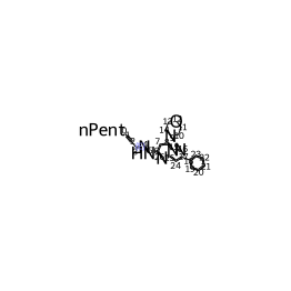 CCCCCC#C/C=N/Nc1cc(N2CCOCC2)n2nc(-c3ccccc3)cc2n1